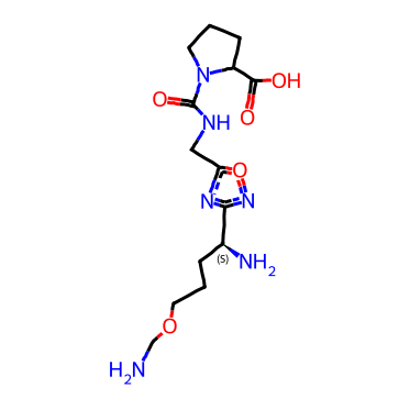 NCOCCC[C@H](N)c1noc(CNC(=O)N2CCCC2C(=O)O)n1